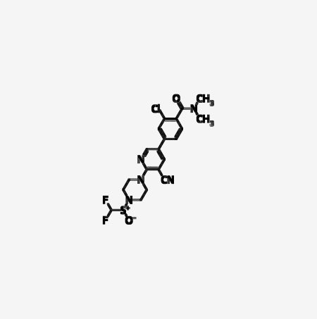 CN(C)C(=O)c1ccc(-c2cnc(N3CCN([S+]([O-])C(F)F)CC3)c(C#N)c2)cc1Cl